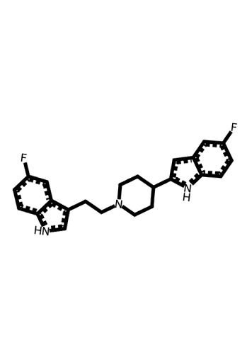 Fc1ccc2[nH]c(C3CCN(CCc4c[nH]c5ccc(F)cc45)CC3)cc2c1